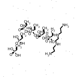 C=CP(=O)(O)O.C=CP(=O)(O)O.C=CP(=O)(O)O.C=CP(=O)(O)O.C=CP(=O)(O)O.C=CP(=O)(O)O.NCCNCCNCCN